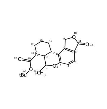 CC(Oc1ccc2c(c1)COC2=O)C1CCCCN1C(=O)OC(C)(C)C